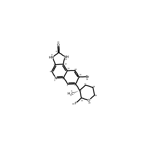 C[C@]1(c2cc3ncc4[nH]c(=O)[nH]c4c3cc2Br)CCCOC1F